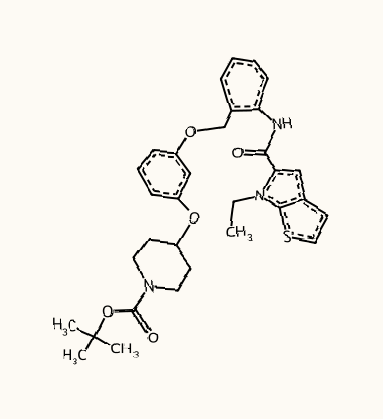 CCn1c(C(=O)Nc2ccccc2COc2cccc(OC3CCN(C(=O)OC(C)(C)C)CC3)c2)cc2ccsc21